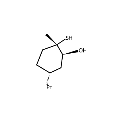 CC(C)[C@@H]1CC[C@](C)(S)[C@@H](O)C1